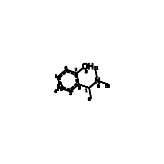 CC(c1[c]nccc1O)N(C)C